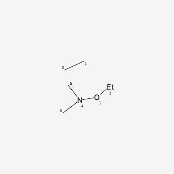 CC.CCON(C)C